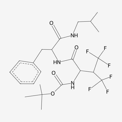 CC(C)CNC(=O)C(Cc1ccccc1)NC(=O)C(NC(=O)OC(C)(C)C)C(C(F)(F)F)C(F)(F)F